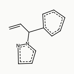 C=CC(c1ccccc1)n1cccn1